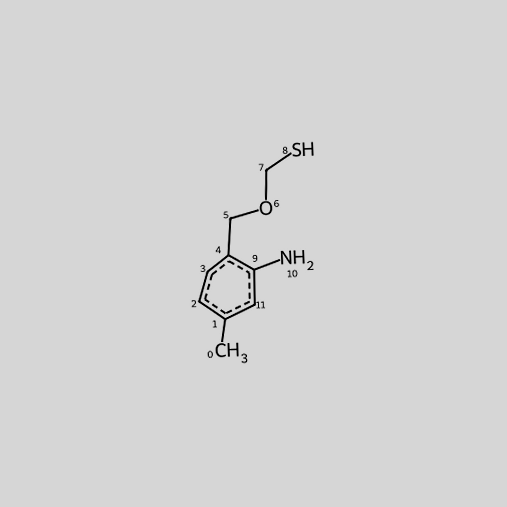 Cc1ccc(COCS)c(N)c1